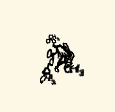 CO[C@H]1C(=O)N2C(C(=O)OCc3ccc(C)c(I)c3)=C(COC(C)=O)CS(=O)(=O)[C@H]12